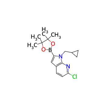 CC1(C)OB(c2cc3ccc(Cl)nc3n2CC2CC2)OC1(C)C